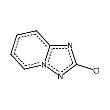 Clc1nc2ccccn2n1